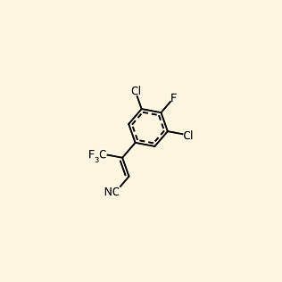 N#CC=C(c1cc(Cl)c(F)c(Cl)c1)C(F)(F)F